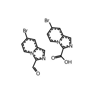 O=C(O)c1ncc2cc(Br)ccn12.O=Cc1ncc2cc(Br)ccn12